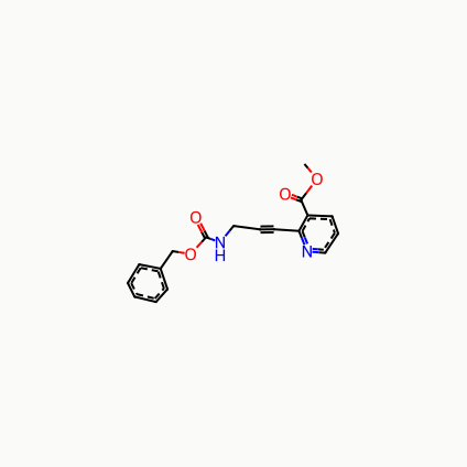 COC(=O)c1cccnc1C#CCNC(=O)OCc1ccccc1